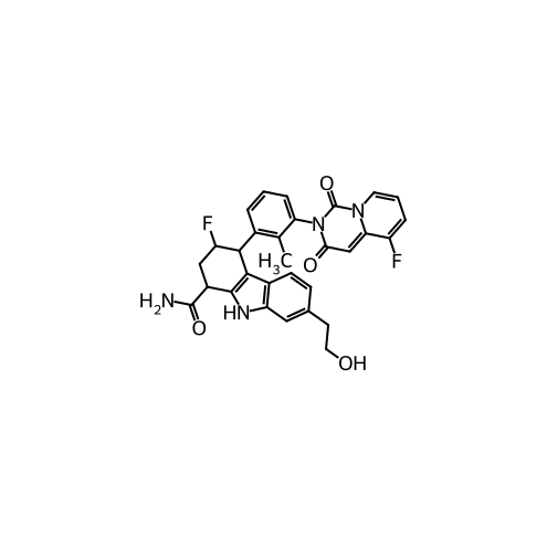 Cc1c(C2c3c([nH]c4cc(CCO)ccc34)C(C(N)=O)CC2F)cccc1-n1c(=O)cc2c(F)cccn2c1=O